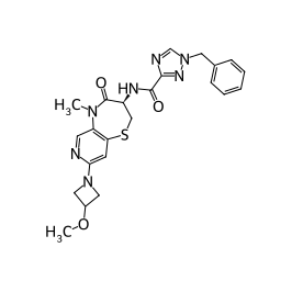 COC1CN(c2cc3c(cn2)N(C)C(=O)[C@@H](NC(=O)c2ncn(Cc4ccccc4)n2)CS3)C1